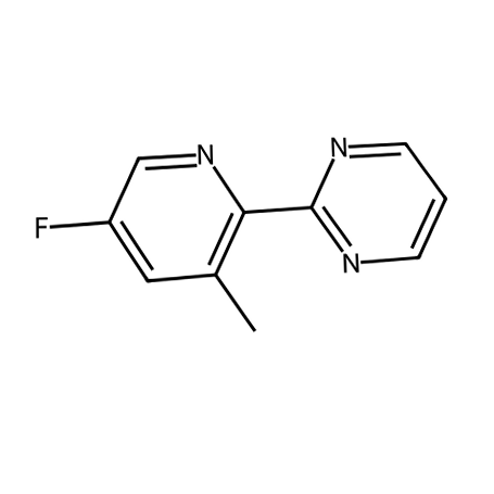 Cc1cc(F)cnc1-c1ncccn1